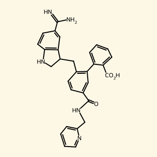 N=C(N)c1ccc2c(c1)C(Cc1ccc(C(=O)NCc3ccccn3)cc1-c1ccccc1C(=O)O)CN2